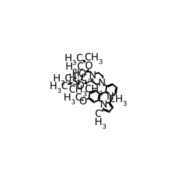 COc1ccc(-c2ncccc2N2CCN(C(=O)OC(C)(C)C)[C@H](C(C)(C)O[SiH2]C(C)(C)C)C2)c(-n2c(C)ccc2C)c1